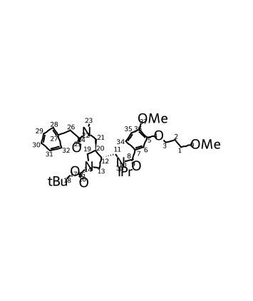 COCCCOc1cc(C(=O)N(C[C@@H]2CN(C(=O)OC(C)(C)C)C[C@H]2CN(C)C(=O)Cc2ccccc2)C(C)C)ccc1OC